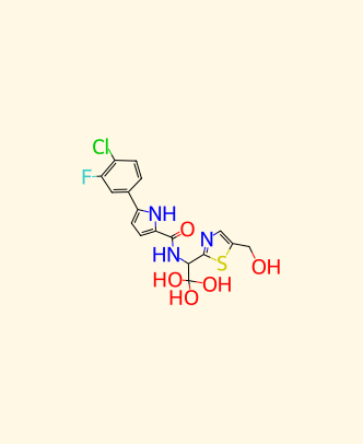 O=C(NC(c1ncc(CO)s1)C(O)(O)O)c1ccc(-c2ccc(Cl)c(F)c2)[nH]1